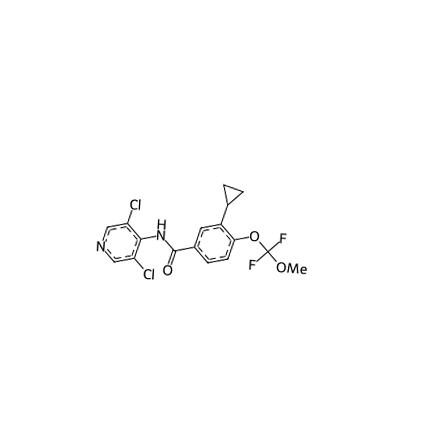 COC(F)(F)Oc1ccc(C(=O)Nc2c(Cl)cncc2Cl)cc1C1CC1